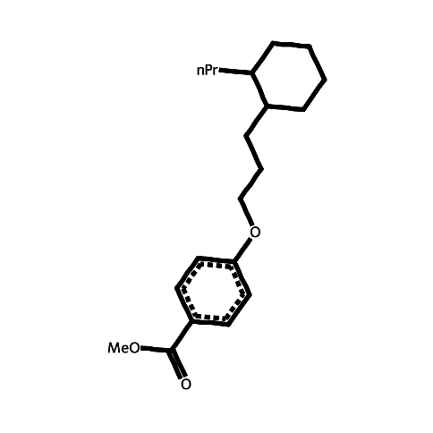 CCCC1CCCCC1CCCOc1ccc(C(=O)OC)cc1